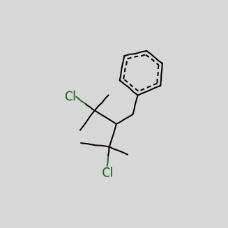 CC(C)(Cl)C(Cc1ccccc1)C(C)(C)Cl